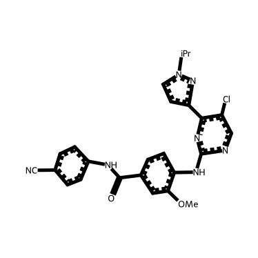 COc1cc(C(=O)Nc2ccc(C#N)cc2)ccc1Nc1ncc(Cl)c(-c2ccn(C(C)C)n2)n1